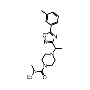 CCN(C)C(=O)N1CCN(C(C)c2noc(-c3cccc(C)c3)n2)CC1